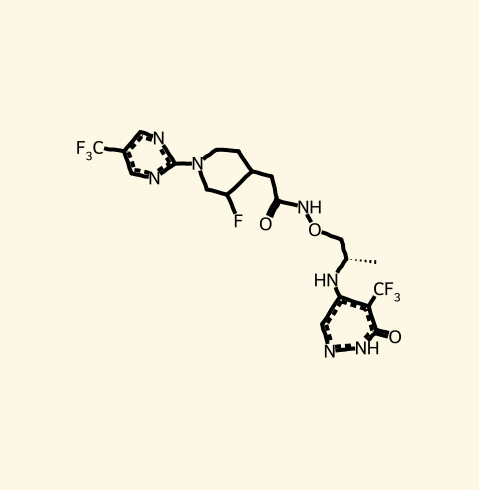 C[C@@H](CONC(=O)CC1CCN(c2ncc(C(F)(F)F)cn2)CC1F)Nc1cn[nH]c(=O)c1C(F)(F)F